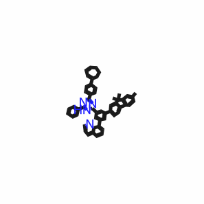 Cc1ccc2c(c1)C(C)(C)c1cc(-c3cc(C4=NC(c5ccc(C6=CC=CCCC6)cc5)=NC(c5ccccc5)N4)cc(-c4cccc5cccnc45)c3)ccc1-2